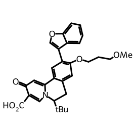 COCCCOc1cc2c(cc1-c1coc3ccccc13)-c1cc(=O)c(C(=O)O)cn1C(C(C)(C)C)C2